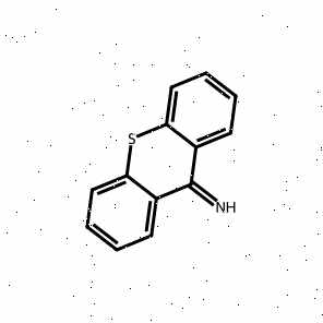 N=c1c2ccccc2sc2ccccc12